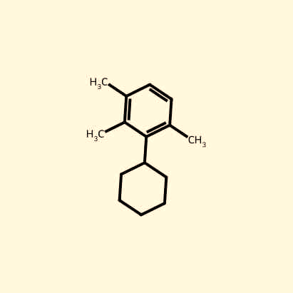 Cc1ccc(C)c(C2CCCCC2)c1C